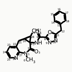 CN1C(=O)C2(NC(=O)c3nnc(Cc4ccccc4)o3)C3C(c4cccnc41)C32C